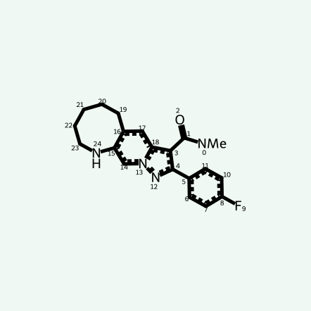 CNC(=O)c1c(-c2ccc(F)cc2)nn2cc3c(cc12)CCCCCN3